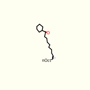 CCCCCCCC/C=C\CCCCCCCC(=O)C1CCCCC1